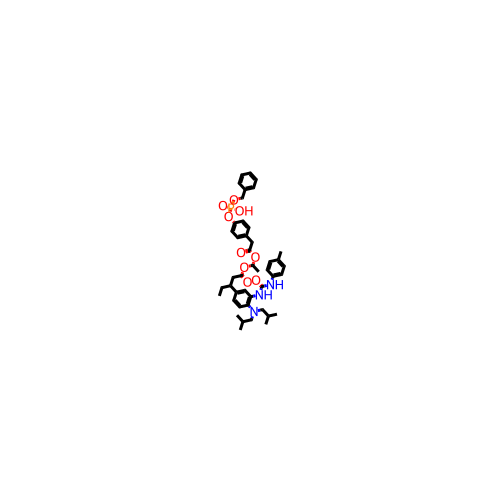 CCC(CC(=O)OC(C)OC(=O)Cc1ccc(OP(=O)(O)OCc2ccccc2)cc1)c1ccc(N(CC(C)C)CC(C)C)c(NC(=O)Nc2ccc(C)cc2)c1